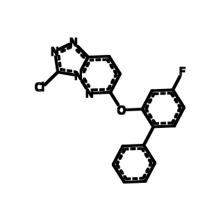 Fc1ccc(-c2ccccc2)c(Oc2ccc3nnc(Cl)n3n2)c1